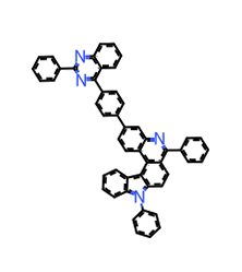 c1ccc(-c2nc(-c3ccc(-c4ccc5c(c4)nc(-c4ccccc4)c4ccc6c(c7ccccc7n6-c6ccccc6)c45)cc3)c3ccccc3n2)cc1